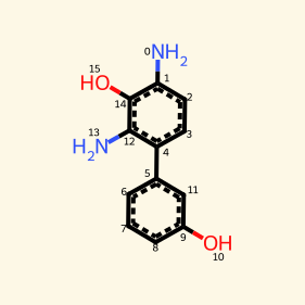 Nc1ccc(-c2cccc(O)c2)c(N)c1O